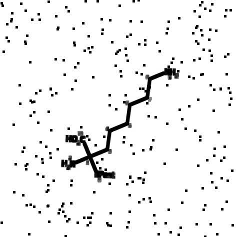 CCCCCC(N)(CCCCCCN)C(=O)O